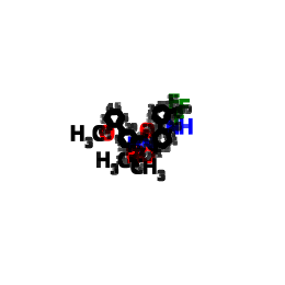 COc1ccccc1-c1ccc(OC(C)C)c(C(=O)NC2(CO)CCc3[nH]c4c(C(F)(F)F)cccc4c3C2)c1